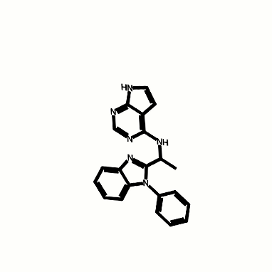 CC(Nc1ncnc2[nH]ccc12)c1nc2ccccc2n1-c1ccccc1